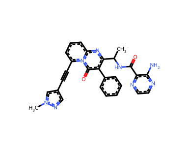 CC(NC(=O)c1nccnc1N)c1nc2cccc(C#Cc3cnn(C)c3)n2c(=O)c1-c1ccccc1